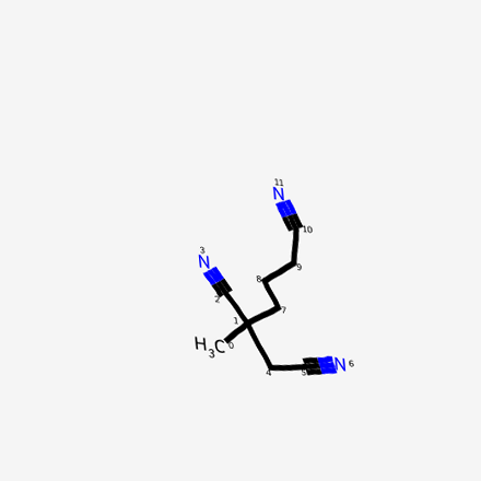 CC(C#N)(CC#N)CCCC#N